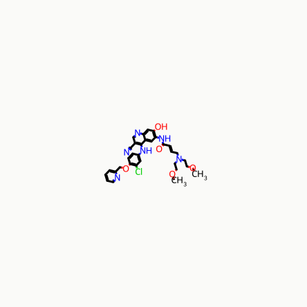 COCCN(C/C=C/C(=O)Nc1cc2c(Nc3ccc(OCc4ccccn4)c(Cl)c3)c(C#N)cnc2cc1O)CCOC